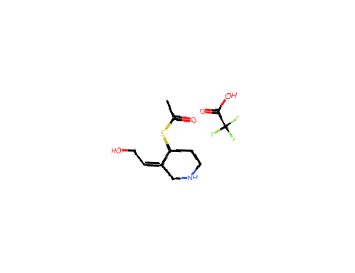 CC(=O)SC1CCNCC1=CCO.O=C(O)C(F)(F)F